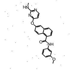 CNc1nccc(Oc2ccc3c(C(=O)Nc4cccc(OC)c4)cccc3c2)n1